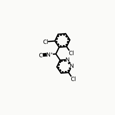 [C-]#[N+]C(c1ccc(Cl)nn1)c1c(Cl)cccc1Cl